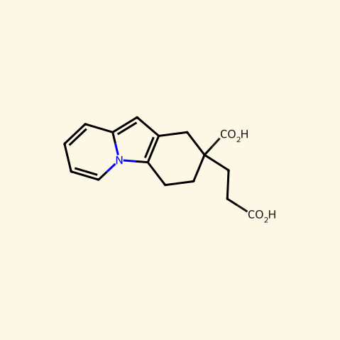 O=C(O)CCC1(C(=O)O)CCc2c(cc3ccccn23)C1